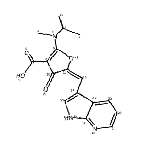 CC(C)N(C)C1=C(C(=O)O)C(=O)C(=Cc2c[nH]c3ncccc23)O1